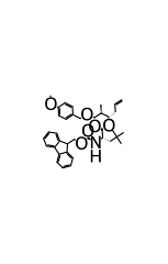 C=CC[C@H](OC(=O)[C@H](CC(C)(C)C)NC(=O)OCC1c2ccccc2-c2ccccc21)[C@H](C)COCc1ccc(OC)cc1